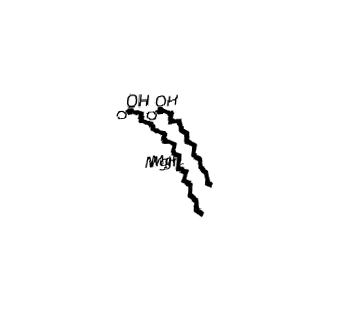 CCCCCCCCCCCCCC(=O)O.CCCCCCCCCCCCCCCCCC(=O)O.[MgH2].[MgH2]